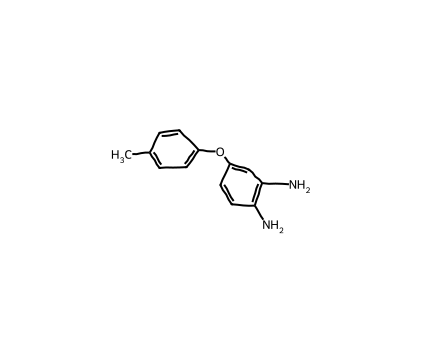 Cc1ccc(Oc2ccc(N)c(N)c2)cc1